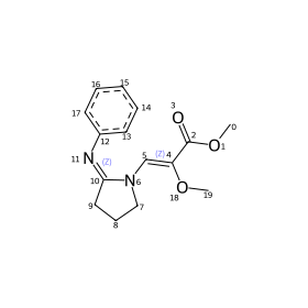 COC(=O)/C(=C/N1CCC/C1=N/c1ccccc1)OC